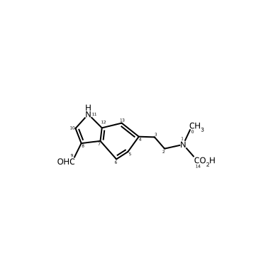 CN(CCc1ccc2c(C=O)c[nH]c2c1)C(=O)O